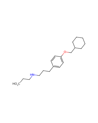 O=C(O)CCNCCCc1ccc(OCC2CCCCC2)cc1